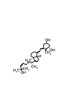 C=C1C(=CC=C2CCC[C@]3(C)C([C@H](C)SC/C=C\C(C)(C)O)=CC[C@@H]23)C[C@@H](O)C[C@@H]1O